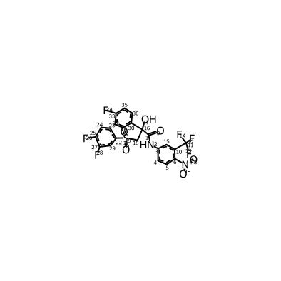 O=C(Nc1ccc([N+](=O)[O-])c(C(F)(F)F)c1)C(O)(CS(=O)(=O)c1ccc(F)c(F)c1)c1ccc(F)cc1